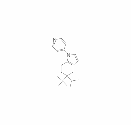 CC(C)C1(C(C)(C)C)CCc2c(ccn2-c2ccncc2)C1